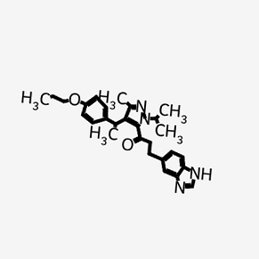 CCCOc1ccc(C(C)c2c(C)nn(C(C)C)c2C(=O)CCc2ccc3[nH]cnc3c2)cc1